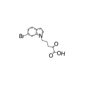 O=C(O)C(=O)CCCn1ccc2ccc(Br)cc21